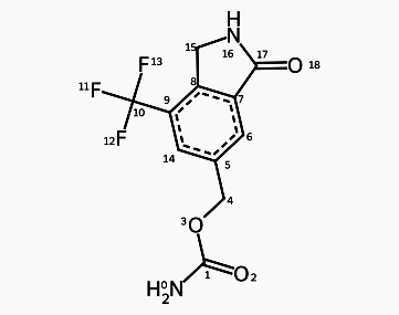 NC(=O)OCc1cc2c(c(C(F)(F)F)c1)CNC2=O